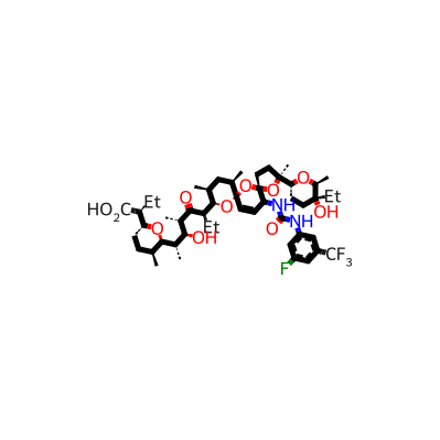 CC[C@@H](C(=O)[C@@H](C)[C@@H](O)[C@H](C)[C@@H]1O[C@@H]([C@@H](CC)C(=O)O)CC[C@@H]1C)[C@H]1O[C@]2(C=CC(NC(=O)Nc3cc(F)cc(C(F)(F)F)c3)[C@]3(CC[C@@](C)([C@H]4CC[C@](O)(CC)[C@H](C)O4)O3)O2)[C@H](C)C[C@@H]1C